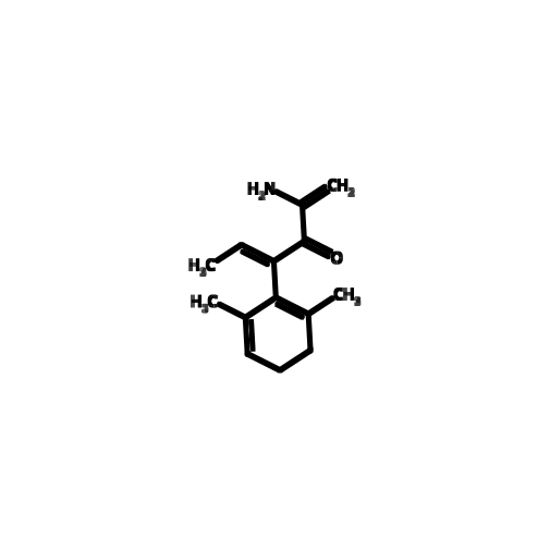 C=C(N)C(=O)/C(=C/C)C1=C(C)CCC=C1C